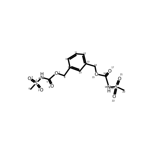 CS(=O)(=O)NC(=O)OCc1cccc(COC(=O)NS(C)(=O)=O)c1